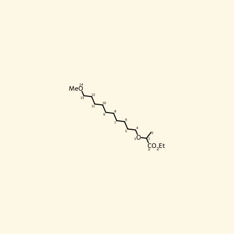 CCOC(=O)C(C)OCCCCCCCCCCOC